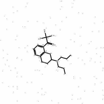 CCCN(CCC)C1CCc2cccc(C(=O)C(F)(F)F)c2C1